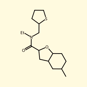 CCN(CC1CCCS1)C(=O)C1CC2CC(C)CCC2O1